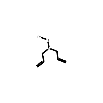 C=CCN(CC=C)OCC